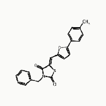 Cc1ccc(-c2ccc(/C=C3\SC(=O)N(Cc4ccccc4)C3=O)o2)cc1